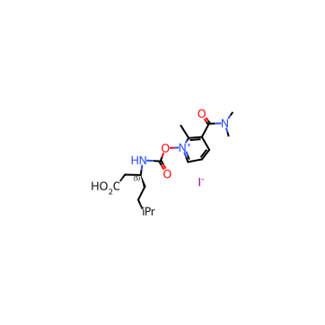 Cc1c(C(=O)N(C)C)ccc[n+]1OC(=O)N[C@@H](CCC(C)C)CC(=O)O.[I-]